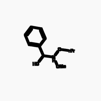 CCCO[SiH](OC)C(O)c1ccccc1